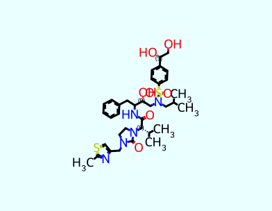 Cc1nc(CN2CCN([C@H](C(=O)NC(Cc3ccccc3)[C@H](O)CN(CC(C)C)S(=O)(=O)c3ccc([C@H](O)CO)cc3)C(C)C)C2=O)cs1